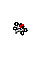 Brc1nc([Si](c2ccccc2)(c2ccccc2)c2ccccc2)c(-c2ccccn2)c([Si](c2ccccc2)(c2ccccc2)c2ccccc2)n1